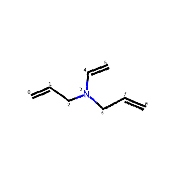 C=CCN(C=C)CC=C